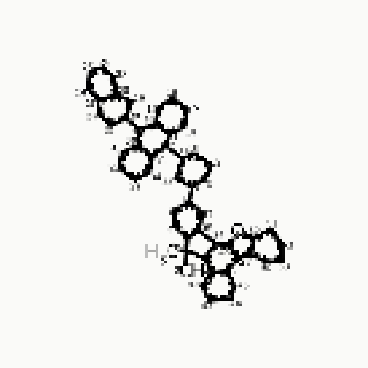 CC1(C)c2ccc(-c3cccc(-c4c5ccccc5c(-c5ccc6ccccc6c5)c5ccccc45)c3)cc2-c2c1c1ccccc1c1c2oc2ccccc21